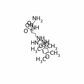 COc1cc(C)c(S(=O)(=O)NC(=N)NCCC[C@H](NC(=O)CN)C(=O)O)c(C)c1C